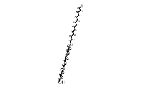 OOOOOOOOOOOOOOOOCCCCCCCCCCCCCCCCF